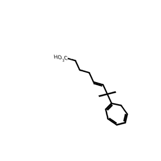 CC(C)(C=CCCCC(=O)O)C1=CC=CC=CC1